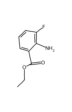 CCOC(=O)c1cccc(F)c1N